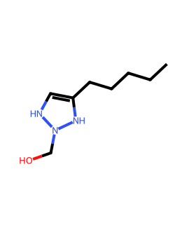 CCCCCC1=CNN(CO)N1